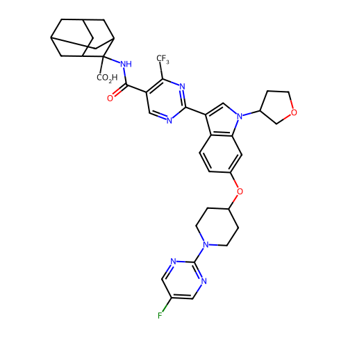 O=C(NC1(C(=O)O)C2CC3CC(C2)CC1C3)c1cnc(-c2cn(C3CCOC3)c3cc(OC4CCN(c5ncc(F)cn5)CC4)ccc23)nc1C(F)(F)F